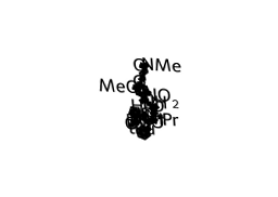 CNC(=O)CCCOc1cc([N+](=O)[O-])c(C(C)NNC(=O)[C@H](CC(C)C)NC(=O)[C@H](Cc2ccccc2)NC(=O)[C@@H]2CCCN2C(=O)OC(C)(C)C)cc1OC